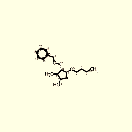 C=C1[C@H](O)C[C@H](OCCCC)[C@H]1COCc1ccccc1